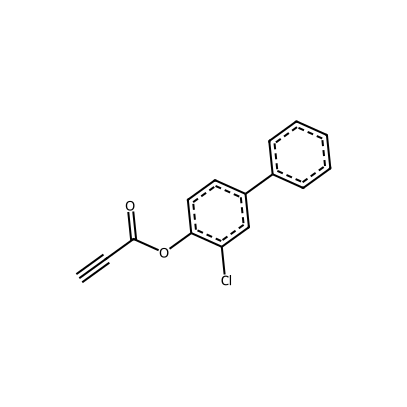 C#CC(=O)Oc1ccc(-c2ccccc2)cc1Cl